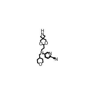 N#Cc1ccc(N(CCC2OCC3(CNC3)CO2)CC2CCOCC2)cn1